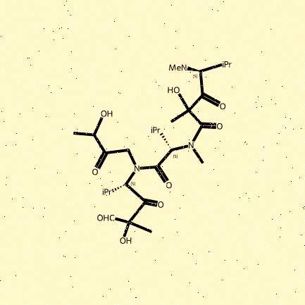 CN[C@H](C(=O)C(C)(O)C(=O)N(C)[C@H](C(=O)N(CC(=O)C(C)O)[C@H](C(=O)C(C)(O)[C]=O)C(C)C)C(C)C)C(C)C